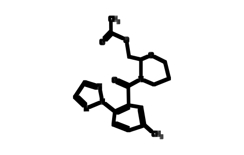 CC(=O)OCC1OCCCN1C(=O)c1cc(C)ccc1-n1nccn1